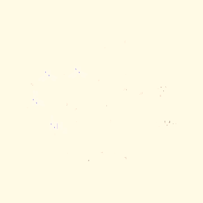 COc1ccc(-c2c(-c3cccs3)nc3ncnc(N)c3c2-c2cccc(Cl)c2)cc1OC